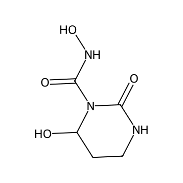 O=C(NO)N1C(=O)NCCC1O